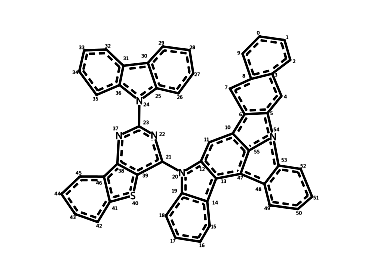 c1ccc2cc3c(cc2c1)c1cc2c(c4ccccc4n2-c2nc(-n4c5ccccc5c5ccccc54)nc4c2sc2ccccc24)c2c4ccccc4n3c12